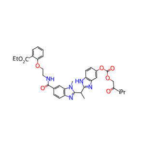 CCOC(=O)c1ccccc1OCCNC(=O)c1ccc2nc(C(C)c3nc4cc(OC(=O)OCC(=O)C(C)C)ccc4[nH]3)n(C)c2c1